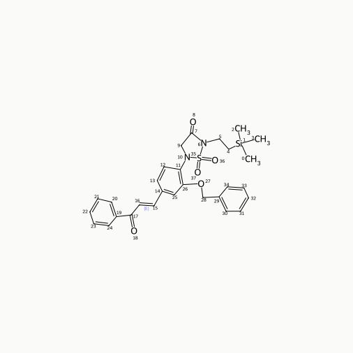 C[Si](C)(C)CCN1C(=O)CN(c2ccc(/C=C/C(=O)c3ccccc3)cc2OCc2ccccc2)S1(=O)=O